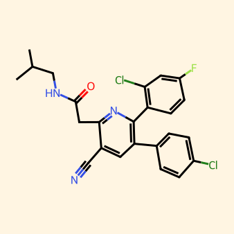 CC(C)CNC(=O)Cc1nc(-c2ccc(F)cc2Cl)c(-c2ccc(Cl)cc2)cc1C#N